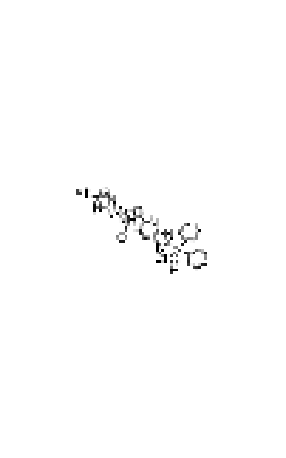 CCc1nc(CNC(=O)c2cc3c(nc2OC)nc(C(O)(c2ccccc2)c2ccccc2)n3CC)no1